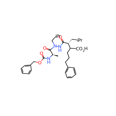 CC(C)C[C@@H](C(=O)NN(CC(C)C)C(=O)[C@@H](C)NC(=O)OCc1ccccc1)C(CCCc1ccccc1)C(=O)O